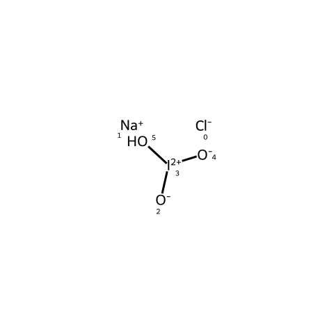 [Cl-].[Na+].[O-][I+2]([O-])O